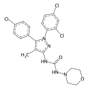 Cc1c(NC(=O)NN2CCOCC2)nn(-c2ccc(Cl)cc2Cl)c1-c1ccc(Cl)cc1